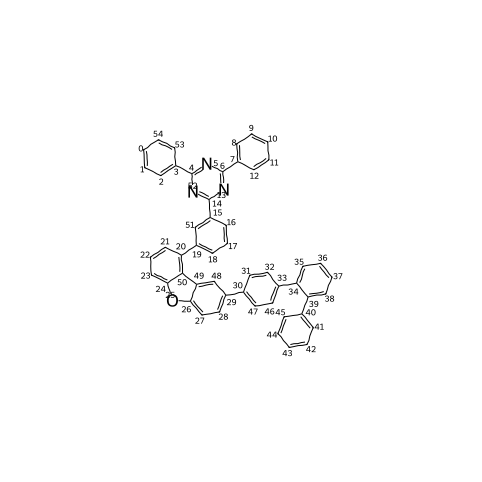 c1ccc(-c2nc(-c3ccccc3)nc(-c3cccc(-c4cccc5oc6ccc(-c7ccc(-c8ccccc8-c8ccccc8)cc7)cc6c45)c3)n2)cc1